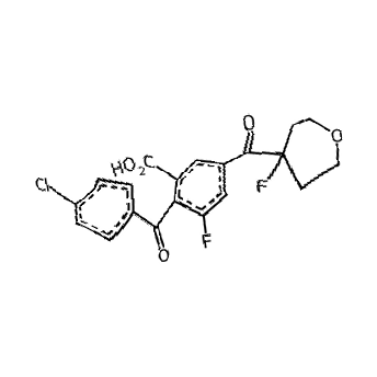 O=C(O)c1cc(C(=O)C2(F)CCOCC2)cc(F)c1C(=O)c1ccc(Cl)cc1